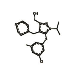 Cc1cc(Cl)cc(Sc2c(Cc3ccncc3)c(CO)nn2C(C)C)c1